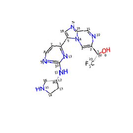 O[C@@H](c1cn2c(-c3ccnc(N[C@@H]4CCNC4)n3)cnc2cn1)C(F)(F)F